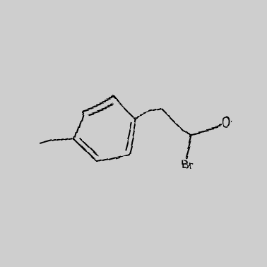 Cc1ccc(CC([O])Br)cc1